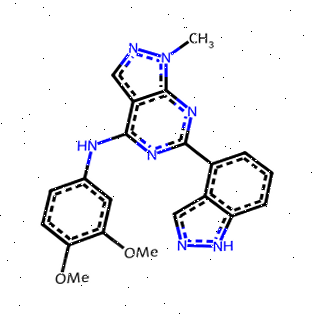 COc1ccc(Nc2nc(-c3cccc4[nH]ncc34)nc3c2cnn3C)cc1OC